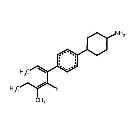 C/C=C(\C(F)=C(\C)CC)c1ccc(C2CCC(N)CC2)cc1